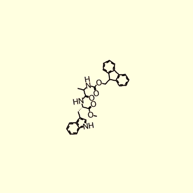 COC(=O)[C@H](Cc1c[nH]c2ccccc12)NC(=O)C(C)NC(=O)OCC1c2ccccc2-c2ccccc21